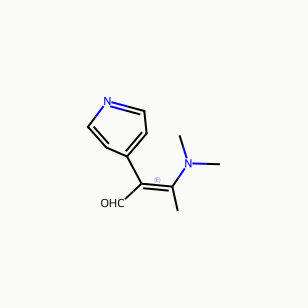 C/C(=C(\C=O)c1ccncc1)N(C)C